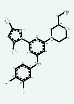 Cc1cc(C)n(-c2nc(Nc3ccc(F)c(F)c3)cc(N3CCOC(CO)C3)n2)n1